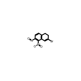 O=Nc1ccc2c(c1[N+](=O)[O-])C=C(Br)CC2